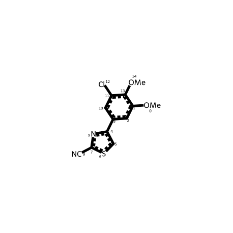 COc1cc(-c2csc(C#N)n2)cc(Cl)c1OC